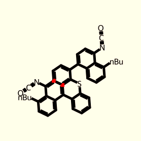 CCCCc1cccc2c(-c3ccccc3Sc3ccccc3-c3ccc(N=C=O)c4c(CCCC)cccc34)ccc(N=C=O)c12